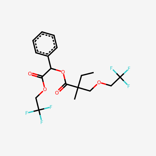 CCC(C)(COCC(F)(F)F)C(=O)OC(C(=O)OCC(F)(F)F)c1ccccc1